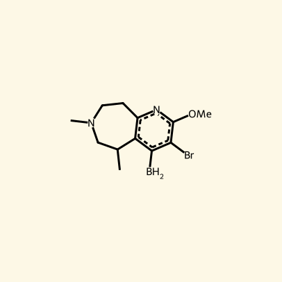 Bc1c(Br)c(OC)nc2c1C(C)CN(C)CC2